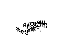 COc1c(NC(=O)Nc2ccc(-c3ccc(CN4CCOCC4)nc3)c3ccccc23)cc(C(C)(C)C)cc1NC(=O)OCC(C)(C)N(C)C